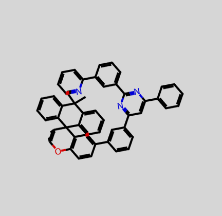 CC1(C)c2ccccc2C2(c3ccccc3Oc3ccc(-c4cccc(-c5cc(-c6ccccc6)nc(-c6cccc(-c7ccccn7)c6)n5)c4)cc32)c2ccccc21